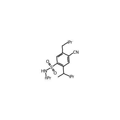 CCCNS(=O)(=O)c1cc(CC(C)C)c(C#N)cc1C(C)C(C)C